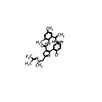 C=C(NC(C)C)c1cc(C)cc(C)c1NC(=O)C1=C(c2ccccc2Cl)N=C(CN(C)/N=C(\C)C(F)(F)F)C1